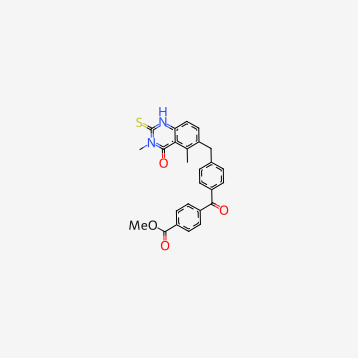 COC(=O)c1ccc(C(=O)c2ccc(Cc3ccc4[nH]c(=S)n(C)c(=O)c4c3C)cc2)cc1